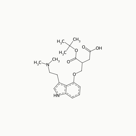 CN(C)CCc1c[nH]c2cccc(OCC(CC(=O)O)C(=O)OC(C)(C)C)c12